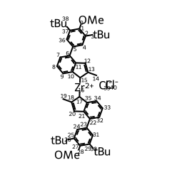 COc1c(C(C)(C)C)cc(-c2cccc3c2C=C(C)[CH]3[Zr+2][CH]2C(C)=Cc3c(-c4cc(C(C)(C)C)c(OC)c(C(C)(C)C)c4)cccc32)cc1C(C)(C)C.[Cl-].[Cl-]